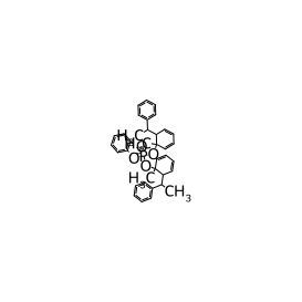 CC(c1ccccc1)C1C=CC=CC1(C)OP(=O)(Oc1ccccc1)OC1(C)C=CC=CC1C(C)c1ccccc1